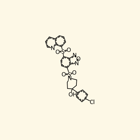 O=S(=O)(c1cccc2cccnc12)c1ccc(S(=O)(=O)N2CCC(O)(c3ccc(Cl)cc3)CC2)c2nonc12